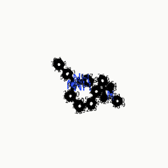 c1ccc(-c2ccc(C3=NC(c4cccc(-c5cccc(-c6cccc(-c7ccc8c(c7)C7(c9ccccc9-8)c8ccccc8N(c8ccccc8)c8ccccc87)c6)c5)c4)NC(c4ccccc4)N3)cc2)cc1